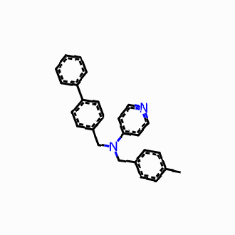 Cc1ccc(CN(Cc2ccc(-c3ccccc3)cc2)c2ccncc2)cc1